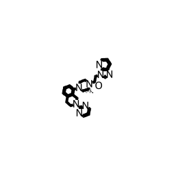 C[C@@H]1CN(c2cccc3c2CN(c2ncccn2)CC3)CCN1C(=O)Cn1cnc2cccnc21